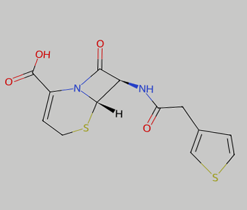 O=C(Cc1ccsc1)N[C@@H]1C(=O)N2C(C(=O)O)=CCS[C@@H]12